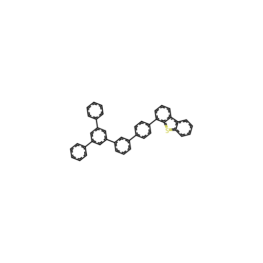 c1ccc(-c2cc(-c3ccccc3)cc(-c3cccc(-c4ccc(-c5cccc6c5sc5ccccc56)cc4)c3)c2)cc1